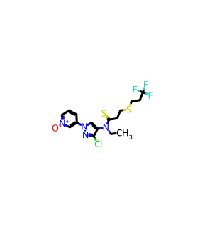 CCN(C(=S)CCSCCC(F)(F)F)c1cn(-c2ccc[n+]([O-])c2)nc1Cl